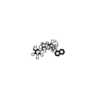 CC(C)OC(=O)[C@@H](C)N[P@](=O)(OC[C@H]1O[C@@H](n2cc(I)c(=O)[nH]c2=O)[C@](C)(F)[C@@H]1O)Oc1cccc2ccccc12